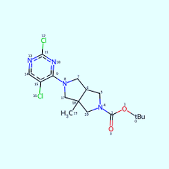 CC(C)(C)OC(=O)N1CC2CN(c3nc(Cl)ncc3Cl)CC2(C)C1